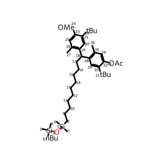 CCCC[Si](C)(C)O[Si](C)(C)CCCCCCCCCCC(c1cc(C(C)(C)C)c(OC)cc1C)c1cc(C(C)(C)C)c(OC(C)=O)cc1C